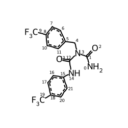 NC(=O)N(Cc1ccc(C(F)(F)F)cc1)C(=O)Nc1ccc(C(F)(F)F)cc1